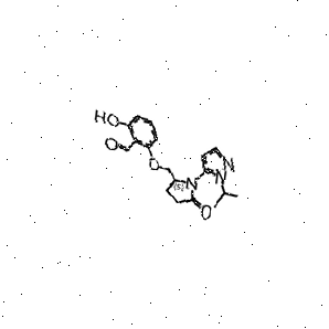 CC(C)n1nccc1N1C(=O)CC[C@H]1COc1cccc(O)c1C=O